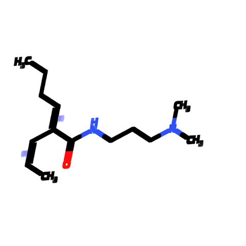 C/C=C\C(=C/CCC)C(=O)NCCCN(C)C